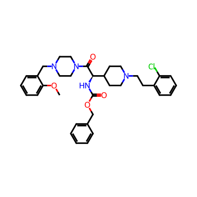 COc1ccccc1CN1CCN(C(=O)[C@H](NC(=O)OCc2ccccc2)C2CCN(CCc3ccccc3Cl)CC2)CC1